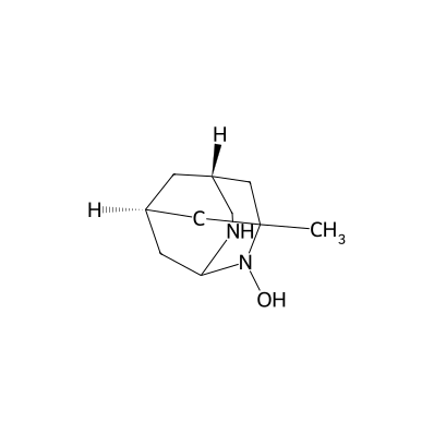 CC12C[C@@H]3CNC(C[C@@H](C3)C1)N2O